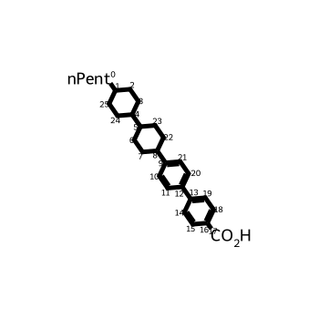 CCCCCC1CCC(C2CCC(c3ccc(-c4ccc(C(=O)O)cc4)cc3)CC2)CC1